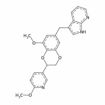 COc1ccc(C2COc3cc(Cc4c[nH]c5ncccc45)cc(OC)c3O2)cn1